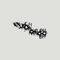 Cc1c(C)n(CC(C)CN2CCN(C)CC2)c2ccc(Nc3cccc(C(=O)Nc4cc(O)c(-c5ccccc5)c(O)c4)c3)cc12